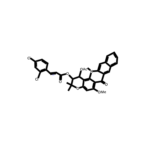 COc1cc2c(c3c1c(=O)c1cc4ccccc4cc1n3C)C(OC(C)=O)C(OC(=O)/C=C/c1ccc(Cl)cc1Cl)C(C)(C)O2